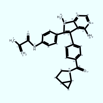 C=C(C)C(=O)Nc1ccc(-c2c(-c3ccc(C(=O)N4CCC5CC54)cc3)c3c(N)ncnc3n2C)cc1